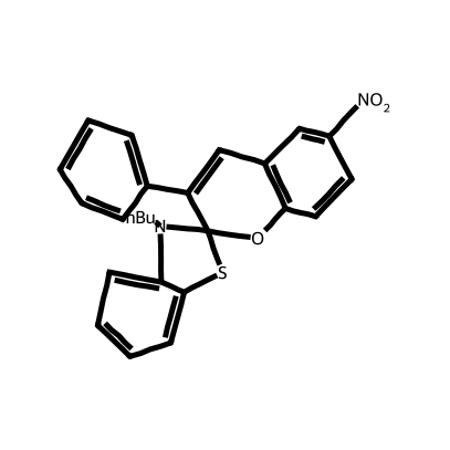 CCCCN1c2ccccc2SC12Oc1ccc([N+](=O)[O-])cc1C=C2c1ccccc1